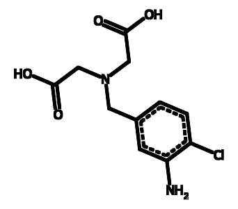 Nc1cc(CN(CC(=O)O)CC(=O)O)ccc1Cl